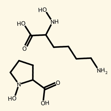 NCCCCC(NO)C(=O)O.O=C(O)C1CCCN1O